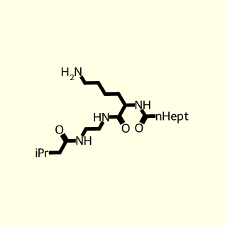 CCCCCCCC(=O)NC(CCCCN)C(=O)NCCNC(=O)CC(C)C